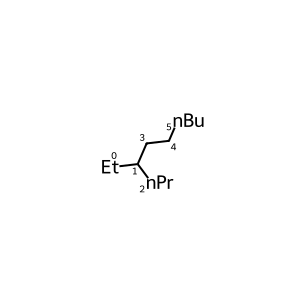 [CH2]CC(CCC)CCCCCC